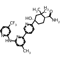 Cc1cc(Nc2cc(C(F)(F)F)ccn2)nc(-c2ccc([C@]3(O)CC[C@H](C(N)=O)C(C)(C)C3)nc2)c1